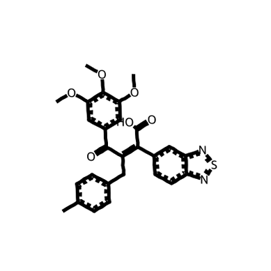 COc1cc(C(=O)C(Cc2ccc(C)cc2)=C(C(=O)O)c2ccc3nsnc3c2)cc(OC)c1OC